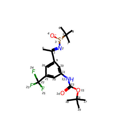 C/C(=N\[S@@+]([O-])C(C)(C)C)c1cc(NC(=O)OC(C)(C)C)cc(C(F)(F)F)c1